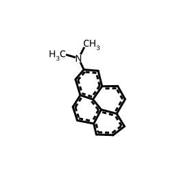 CN(C)c1cc2ccc3cccc4ccc(c1)c2c34